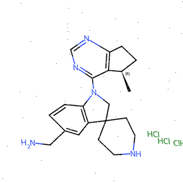 C[C@@H]1CCc2ncnc(N3CC4(CCNCC4)c4cc(CN)ccc43)c21.Cl.Cl.Cl